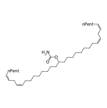 CCCCC/C=C\C/C=C\CCCCCCCCC(CCCCCCCC/C=C\C/C=C\CCCCC)OC(N)=O